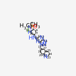 CNP(C)(=O)c1ccc(Nc2cnc3nnn(Cc4ccc5ncccc5c4)c3n2)cc1F